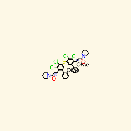 COc1ccccc1-c1cc(Sc2cc(-c3ccccc3OC)c(/C=C/C(=O)N3CCCCC3)c(Cl)c2Cl)c(Cl)c(Cl)c1/C=C/C(=O)N1CCCCC1